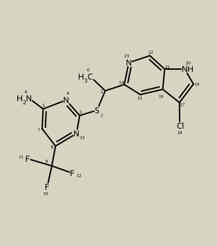 CC(Sc1nc(N)cc(C(F)(F)F)n1)c1cc2c(Cl)c[nH]c2cn1